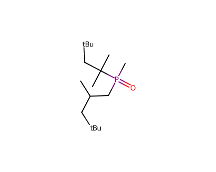 CC(CC(C)(C)C)CP(C)(=O)C(C)(C)CC(C)(C)C